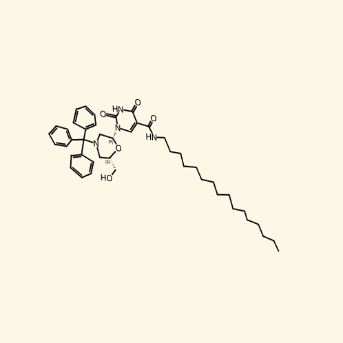 CCCCCCCCCCCCCCCCNC(=O)c1cn([C@H]2CN(C(c3ccccc3)(c3ccccc3)c3ccccc3)C[C@@H](CO)O2)c(=O)[nH]c1=O